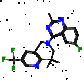 Cc1nc(N2Cc3cc(C(F)(F)F)cnc3C(C)(C)C2)c2cc(F)ccc2n1